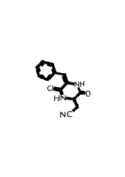 N#CCC1NC(=O)/C(=C\c2ccccc2)NC1=O